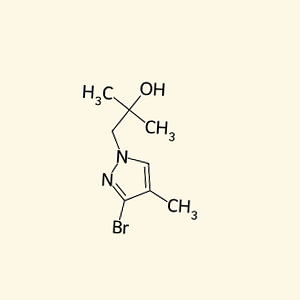 Cc1cn(CC(C)(C)O)nc1Br